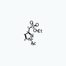 CCOS(=O)(=O)Cc1ccn(C(C)=O)n1